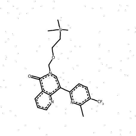 Cc1nc(-c2cn(COCC[Si](C)(C)C)c(=O)c3cccnc23)ccc1C(F)(F)F